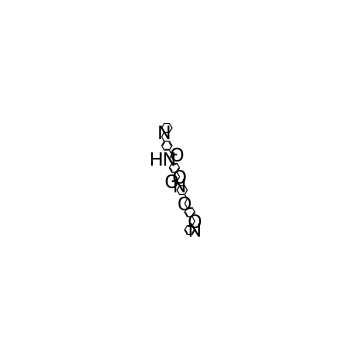 O=C(Nc1ccc(OC(=O)N2CCC(COc3ccc(Oc4ccccn4)cc3)CC2)cc1)c1ccc(CN2CCCCC2)cc1